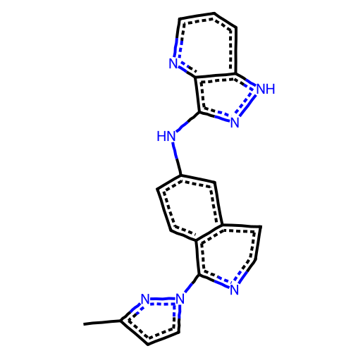 Cc1ccn(-c2nccc3cc(Nc4n[nH]c5cccnc45)ccc23)n1